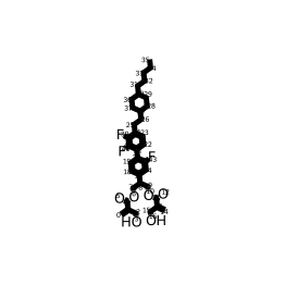 C=C(CO)C(=O)OCC(COC(=O)C(=C)CO)c1ccc(-c2ccc(CCC3CCC(CCCCC)CC3)c(F)c2F)c(F)c1